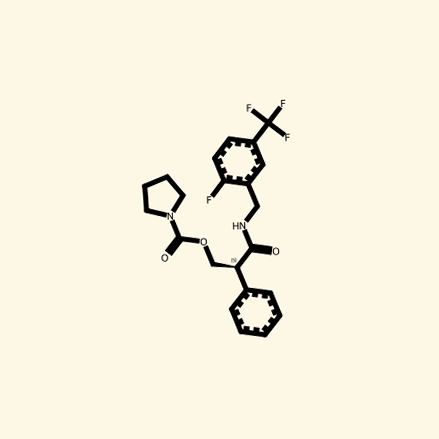 O=C(NCc1cc(C(F)(F)F)ccc1F)[C@H](COC(=O)N1CCCC1)c1ccccc1